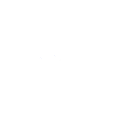 S=C1C(=Cc2cc3sc(-c4ccccc4)nc3n2-c2ccccc2)C(=S)c2cc3ccccc3cc21